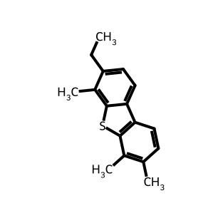 CCc1ccc2c(sc3c(C)c(C)ccc32)c1C